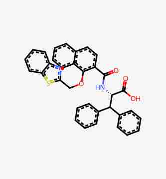 O=C(N[C@H](C(=O)O)C(c1ccccc1)c1ccccc1)c1ccc2ccccc2c1OCc1nc2ccccc2s1